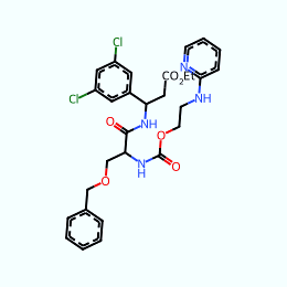 CCOC(=O)CC(NC(=O)C(COCc1ccccc1)NC(=O)OCCNc1ccccn1)c1cc(Cl)cc(Cl)c1